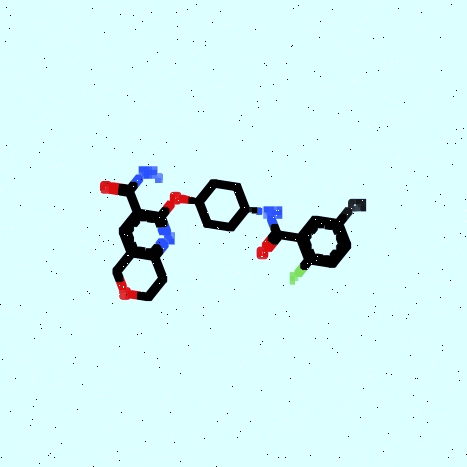 N#Cc1ccc(F)c(C(=O)N[C@H]2CC[C@H](Oc3nc4c(cc3C(N)=O)COCC4)CC2)c1